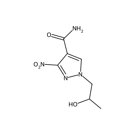 CC(O)Cn1cc(C(N)=O)c([N+](=O)[O-])n1